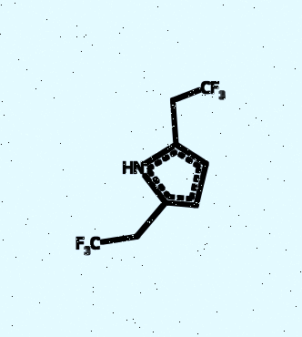 FC(F)(F)Cc1ccc(CC(F)(F)F)[nH]1